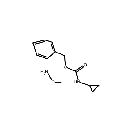 CON.O=C(NC1CC1)OCc1ccccc1